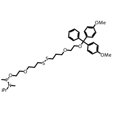 COc1ccc(C(OCCOCCCSSCCCOCCOP(C)N(C)C(C)C)(c2ccccc2)c2ccc(OC)cc2)cc1